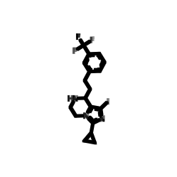 FC(F)(F)c1cccc(CCC2NCCn3c(C4CC4)nc(I)c32)c1